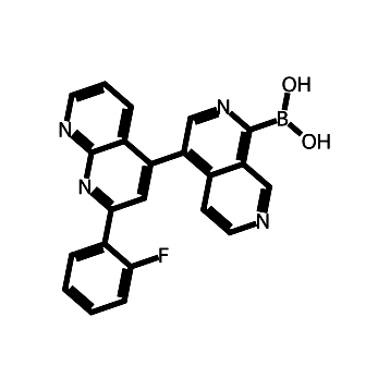 OB(O)c1ncc(-c2cc(-c3ccccc3F)nc3ncccc23)c2ccncc12